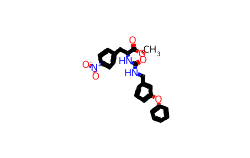 COC(=O)C(Cc1ccc([N+](=O)[O-])cc1)NC(=O)NCc1cccc(Oc2ccccc2)c1